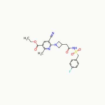 CCOC(=O)c1cc(C#N)c(N2CC(CC(=O)NS(=O)(=O)Cc3ccc(F)cc3)C2)nc1C